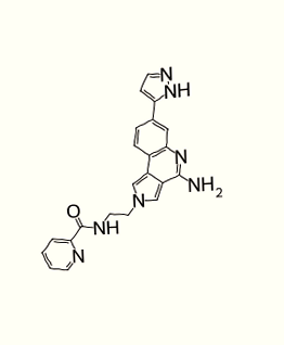 Nc1nc2cc(-c3ccn[nH]3)ccc2c2cn(CCNC(=O)c3ccccn3)cc12